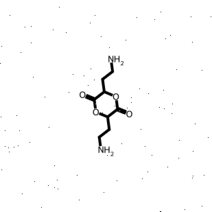 NCCC1OC(=O)C(CCN)OC1=O